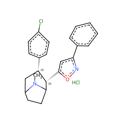 CN1C2CCC1[C@@H](c1cc(-c3ccccc3)no1)[C@@H](c1ccc(Cl)cc1)C2.Cl